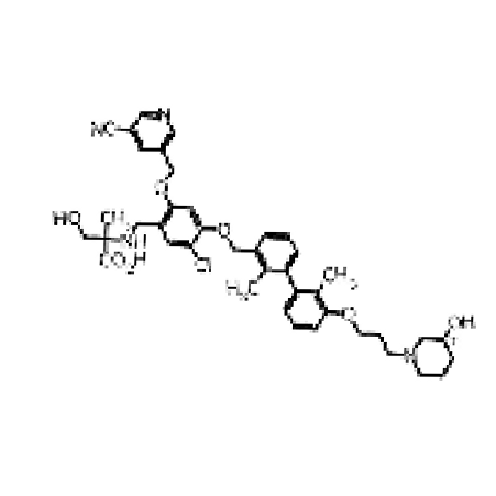 Cc1c(COc2cc(OCc3cncc(C#N)c3)c(CNC(C)(CO)C(=O)O)cc2Cl)cccc1-c1cccc(OCCCN2CCC[C@H](O)C2)c1C